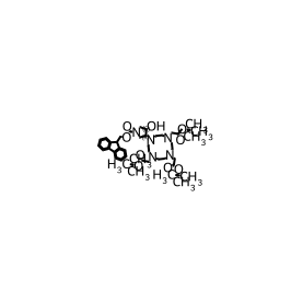 CC(C)(C)OC(=O)CN1CCN(CC(=O)OC(C)(C)C)CCN([C@@H]2CN(C(=O)OCC3c4ccccc4-c4ccccc43)C[C@@H]2O)CCN(CC(=O)OC(C)(C)C)CC1